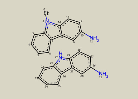 CCn1c2ccccc2c2cc(N)ccc21.Nc1ccc2[nH]c3ccccc3c2c1